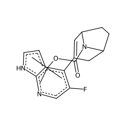 CC(C)(C)OC(=O)N1C2C=C(c3c(F)cnc4[nH]ccc34)CC1CC2